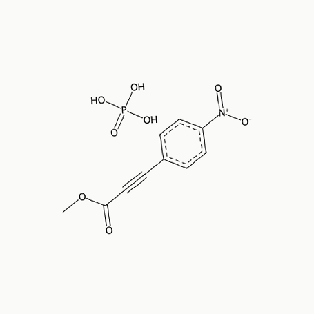 COC(=O)C#Cc1ccc([N+](=O)[O-])cc1.O=P(O)(O)O